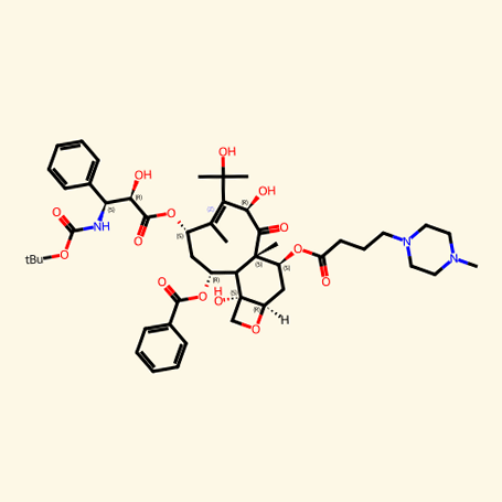 C/C1=C(/C(C)(C)O)[C@@H](O)C(=O)[C@@]2(C)C([C@H](OC(=O)c3ccccc3)C[C@@H]1OC(=O)[C@H](O)[C@@H](NC(=O)OC(C)(C)C)c1ccccc1)[C@]1(O)CO[C@@H]1C[C@@H]2OC(=O)CCCN1CCN(C)CC1